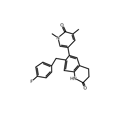 Cc1cc(-c2cc3c(cc2Cc2ccc(F)cc2)NC(=O)CC3)cn(C)c1=O